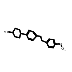 CCCC1CCC(c2ccc(CCc3ccc(OC(F)(F)F)cc3)cc2)CC1